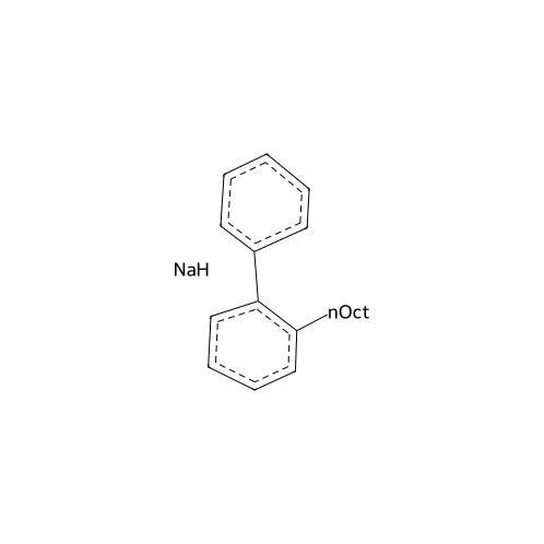 CCCCCCCCc1ccccc1-c1ccccc1.[NaH]